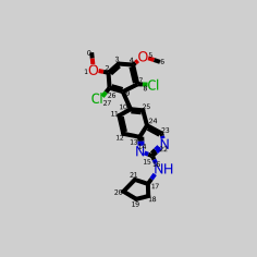 COc1cc(OC)c(Cl)c(-c2ccc3nc(NC4CCCC4)ncc3c2)c1Cl